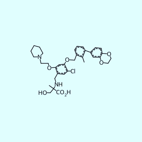 Cc1c(COc2cc(OCCN3CCCCC3)c(CNC(C)(CO)C(=O)O)cc2Cl)cccc1-c1ccc2c(c1)OCCO2